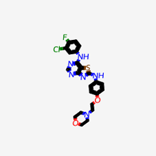 Fc1ccc(Nc2ncnc3nc(Nc4ccc(OCCN5CCOCC5)cc4)sc23)cc1Cl